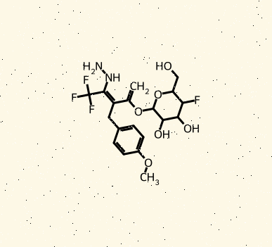 C=C(OC1OC(CO)C(F)C(O)C1O)/C(Cc1ccc(OC)cc1)=C(\NN)C(F)(F)F